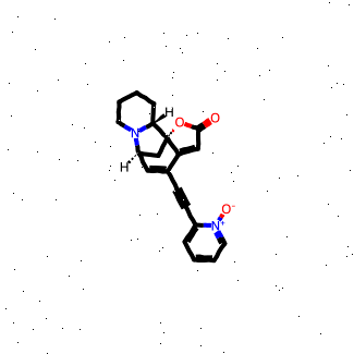 O=C1C=C2C(C#Cc3cccc[n+]3[O-])=C[C@@H]3C[C@@]2(O1)[C@H]1CCCCN31